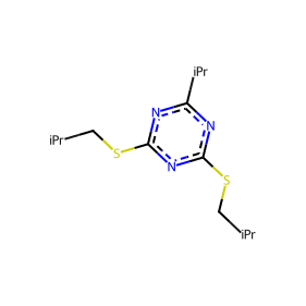 CC(C)CSc1nc(SCC(C)C)nc(C(C)C)n1